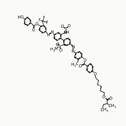 CCC(C)C(=O)OCCCCCCOc1ccc(C(=O)Oc2ccc(N=Nc3ccc(-c4ccc(N=Nc5ccc(OC(=O)c6ccc(O)cc6)c(C(F)(F)F)c5)cc4N[SH](=O)=O)c(S(N)(=O)=O)c3)cc2C)cc1